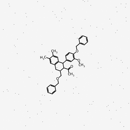 COc1cc(C2c3cc(C)c(C)cc3CC(COCc3ccccc3)C2C(C)=O)ccc1OCc1ccccc1